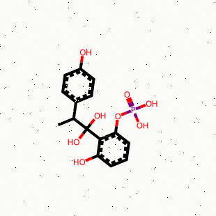 CC(c1ccc(O)cc1)C(O)(O)c1c(O)cccc1OP(=O)(O)O